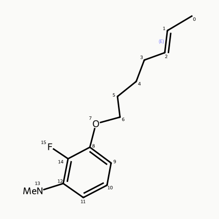 C/C=C/CCCCOc1cccc(NC)c1F